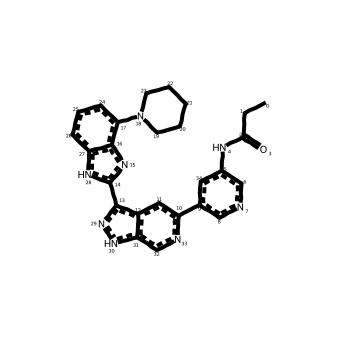 CCC(=O)Nc1cncc(-c2cc3c(-c4nc5c(N6CCCCC6)cccc5[nH]4)n[nH]c3cn2)c1